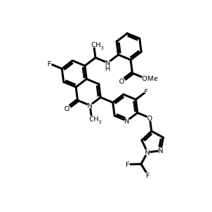 COC(=O)c1ccccc1NC(C)c1cc(F)cc2c(=O)n(C)c(-c3cnc(Oc4cnn(C(F)F)c4)c(F)c3)cc12